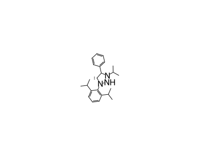 CC(C)c1cccc(C(C)C)c1N1[C]C(c2ccccc2)N(C(C)C)N1